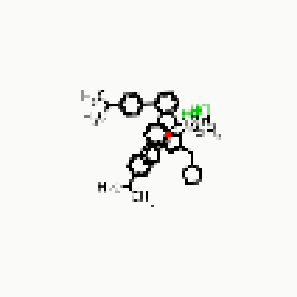 CC(C)c1ccc(-c2cccc3c2C=C(CC2CCCC2)[CH]3[Zr]([CH3])([CH3])(=[SiH2])[CH]2C(CC3CCCC3)=Cc3c(-c4ccc(C(C)C)cc4)cccc32)cc1.Cl.Cl